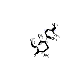 C=C(/C=C\C(C)=C/C)[C@@H]1C[C@H](N)C(=O)N(CC(F)(F)F)[C@@H]1C